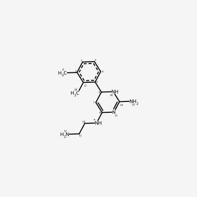 Cc1cccc(C2C=C(NCCN)N=C(N)N2)c1C